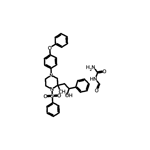 CC1(CC(O)c2ccccc2)CN(c2ccc(Oc3ccccc3)cc2)CCN1S(=O)(=O)c1ccccc1.NC(=O)NC=O